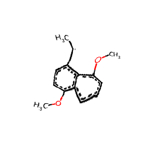 C[CH]c1ccc(OC)c2cccc(OC)c12